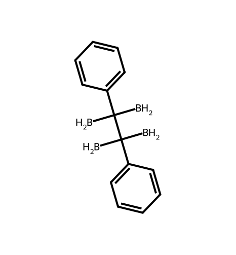 BC(B)(c1ccccc1)C(B)(B)c1ccccc1